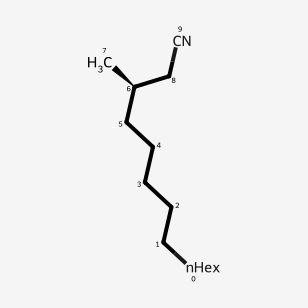 CCCCCCCCCCC[C@@H](C)CC#N